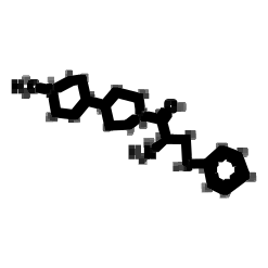 CN1CCC(C2CCN(C(=O)[C@H](N)CSc3ccccc3)CC2)CC1